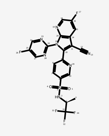 C[C@H](NS(=O)(=O)c1ccc(-c2c(C#N)c3cc(F)cnc3n2-c2ncc(F)cn2)nc1)C(F)(F)F